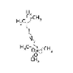 CCO[Si](CCCN=CCCC=C(C)CC(C)C)(OCC)OCC